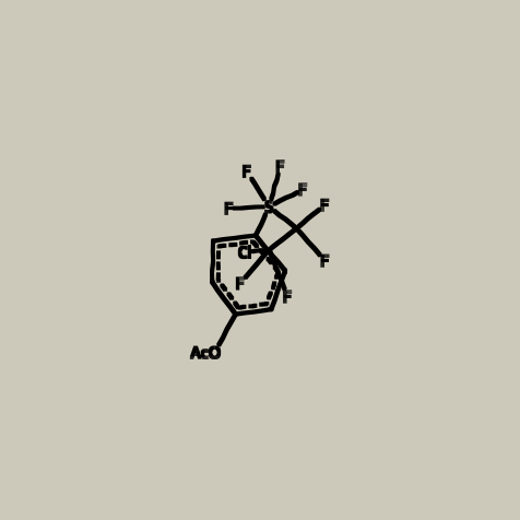 CC(=O)Oc1ccc(S(F)(F)(F)(F)C(F)(F)C(F)(F)Cl)cc1